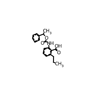 CCCc1cccc(NC(=O)OC(C)c2ccccc2)c1C(=O)O